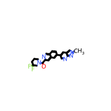 Cn1cc2cc(-c3ccc4cnc(C(=O)N5CCCC(F)(F)C5)cc4c3)cnc2n1